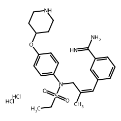 CCS(=O)(=O)N(CC(C)=Cc1cccc(C(=N)N)c1)c1ccc(OC2CCNCC2)cc1.Cl.Cl